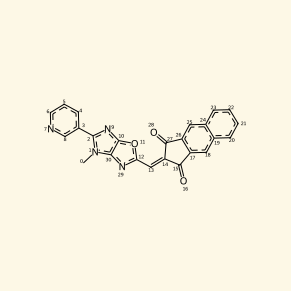 Cn1c(-c2cccnc2)nc2oc(C=C3C(=O)c4cc5ccccc5cc4C3=O)nc21